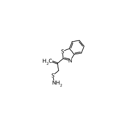 C=C(CSN)c1nc2ccccc2s1